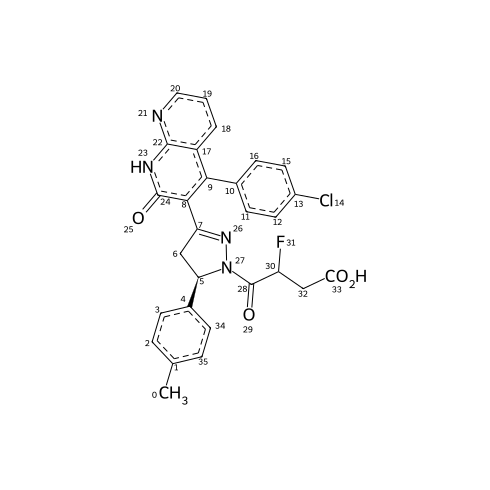 Cc1ccc([C@H]2CC(c3c(-c4ccc(Cl)cc4)c4cccnc4[nH]c3=O)=NN2C(=O)C(F)CC(=O)O)cc1